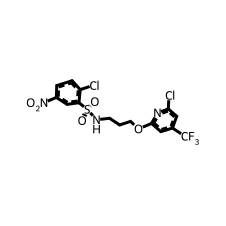 O=[N+]([O-])c1ccc(Cl)c(S(=O)(=O)NCCCOc2cc(C(F)(F)F)cc(Cl)n2)c1